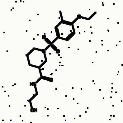 CCOc1ccc(S(=O)(=O)N2CCCC(C(=O)NCCO)C2)cc1C